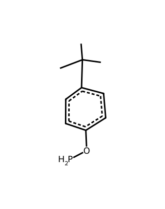 CC(C)(C)c1ccc(OP)cc1